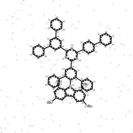 CC(C)(C)c1cc(C(C)(C)C)c2c(c1)c1cc(C(C)(C)C)cc(C(C)(C)C)c1n2-c1c(-c2ccccc2)cc(-c2nc(-c3ccc(-c4ccccc4)cc3)nc(-c3cc(-c4ccccc4)cc(-c4ccccc4)c3)n2)cc1-c1ccccc1